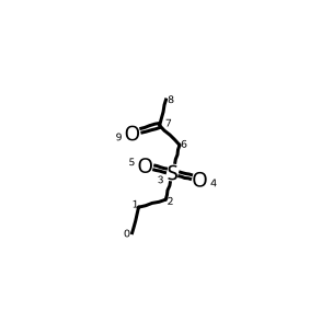 CCCS(=O)(=O)CC(C)=O